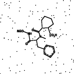 CONC(=O)C(Cc1ccccc1)N(C)C(=O)C1CCCCC1C(=O)O